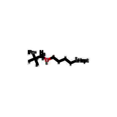 [CH2]CCCCCCCCCCO[SiH2]C(C)(C)C(C)C